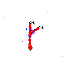 CCOCCOCCC(=O)NCCCC[C@H](NC(=O)CCCNC(=O)CCOCCOCC)C(=O)NCC(=O)NCCOCCOCCOCCOCCC(=O)Oc1c(F)c(F)c(F)c(F)c1F